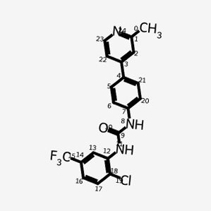 Cc1cc(-c2ccc(NC(=O)Nc3cc(C(F)(F)F)ccc3Cl)cc2)ccn1